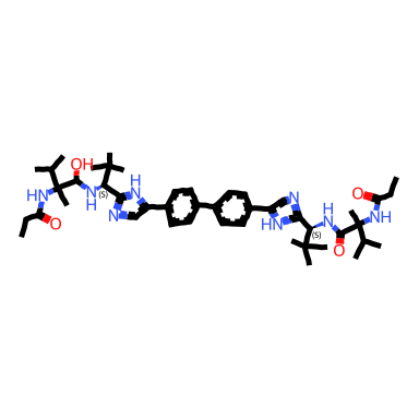 CCC(=O)NC(C)(C(=O)N[C@H](c1ncc(-c2ccc(-c3ccc(-c4cnc([C@@H](NC(O)C(C)(NC(=O)CC)C(C)C)C(C)(C)C)[nH]4)cc3)cc2)[nH]1)C(C)(C)C)C(C)C